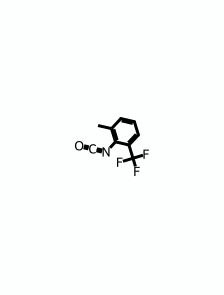 Cc1cccc(C(F)(F)F)c1N=C=O